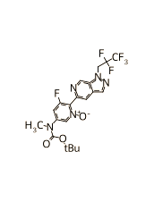 CN(C(=O)OC(C)(C)C)c1cc(F)c(-c2cc3cnn(CC(F)(F)C(F)(F)F)c3cn2)[n+]([O-])c1